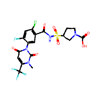 Cn1c(C(F)(F)F)cc(=O)n(-c2cc(C(=O)NS(=O)(=O)C3CCN(C(=O)O)C3)c(Cl)cc2F)c1=O